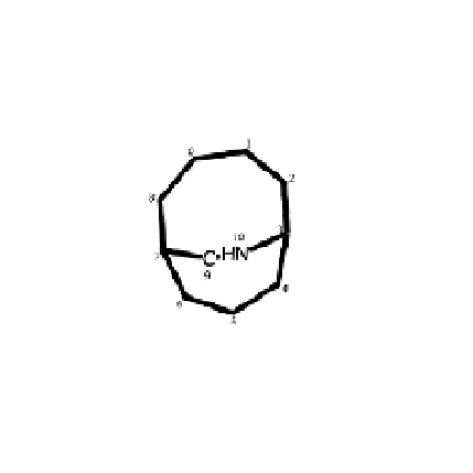 C1CCC2CCCC(C1)CN2